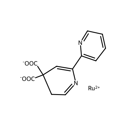 O=C([O-])C1(C(=O)[O-])C=C(c2ccccn2)N=CC1.[Ru+2]